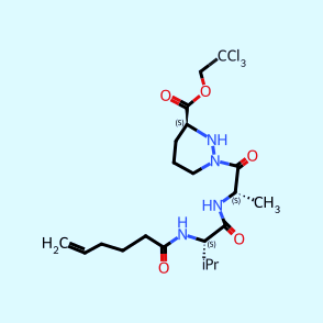 C=CCCCC(=O)N[C@H](C(=O)N[C@@H](C)C(=O)N1CCC[C@@H](C(=O)OCC(Cl)(Cl)Cl)N1)C(C)C